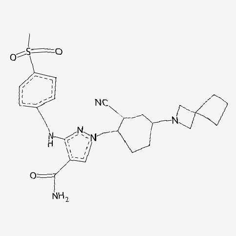 CS(=O)(=O)c1ccc(Nc2nn(C3CCC(N4CC5(CCC5)C4)CC3C#N)cc2C(N)=O)cc1